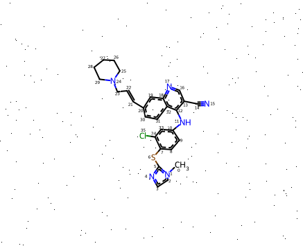 Cn1ccnc1Sc1ccc(Nc2c(C#N)cnc3cc(C=CCN4CCCCC4)ccc23)cc1Cl